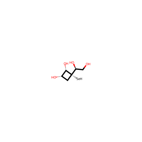 OC[C@H](O)[C@@]1([SeH])C[C@H](O)[C@@H]1O